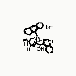 C=C[C@H]1C[N+]2(Cc3c4ccccc4cc4ccccc34)CC[C@H]1C[C@@H]2[C@@H](O)c1ccnc2ccccc12.[Br-]